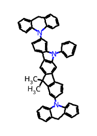 CC1(C)c2cc(N3c4ccccc4Cc4ccccc43)ccc2-c2cc3c(cc21)c1ccc(N2c4ccccc4Cc4ccccc42)cc1n3-c1ccccc1